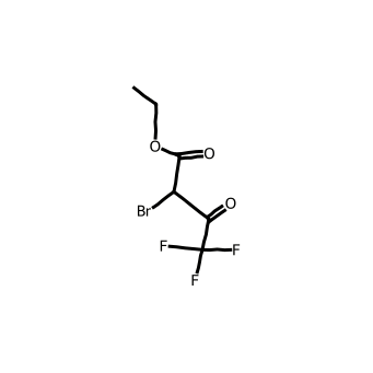 CCOC(=O)C(Br)C(=O)C(F)(F)F